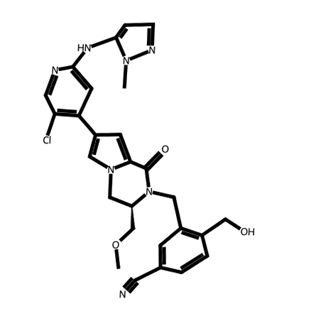 COC[C@H]1Cn2cc(-c3cc(Nc4ccnn4C)ncc3Cl)cc2C(=O)N1Cc1cc(C#N)ccc1CO